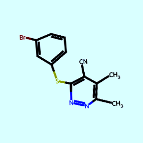 Cc1nnc(Sc2cccc(Br)c2)c(C#N)c1C